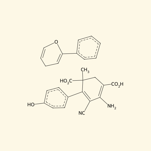 C1=COC(c2ccccc2)=CC1.CC1(C(=O)O)CC(C(=O)O)=C(N)C(C#N)=C1c1ccc(O)cc1